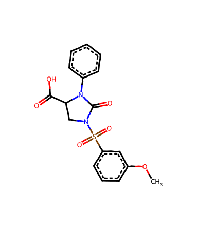 COc1cccc(S(=O)(=O)N2CC(C(=O)O)N(c3ccccc3)C2=O)c1